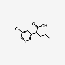 CCCC(C(=O)O)c1cncc(Cl)c1